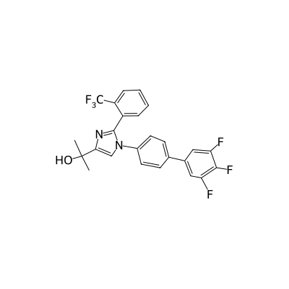 CC(C)(O)c1cn(-c2ccc(-c3cc(F)c(F)c(F)c3)cc2)c(-c2ccccc2C(F)(F)F)n1